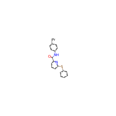 CC(C)c1ccc(NC(=O)c2cccc(Sc3ccccc3)n2)cc1